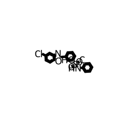 O=C(O)c1ccccc1NS(=O)(=O)c1cccc(-c2nc3cc(Cl)ccc3o2)c1